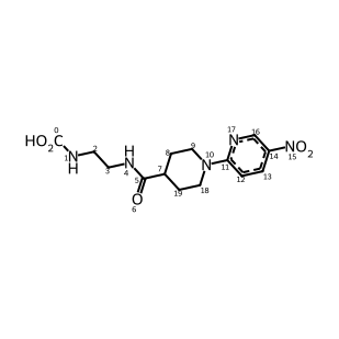 O=C(O)NCCNC(=O)C1CCN(c2ccc([N+](=O)[O-])cn2)CC1